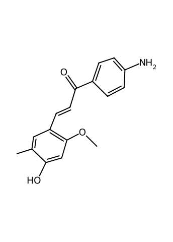 COc1cc(O)c(C)cc1/C=C/C(=O)c1ccc(N)cc1